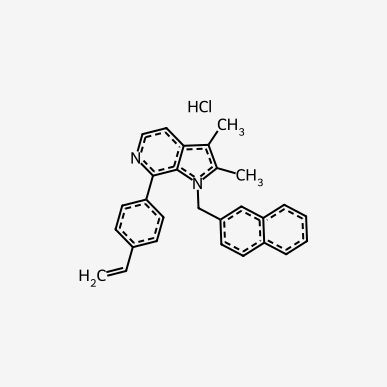 C=Cc1ccc(-c2nccc3c(C)c(C)n(Cc4ccc5ccccc5c4)c23)cc1.Cl